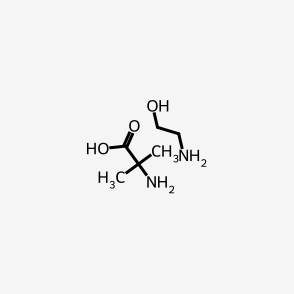 CC(C)(N)C(=O)O.NCCO